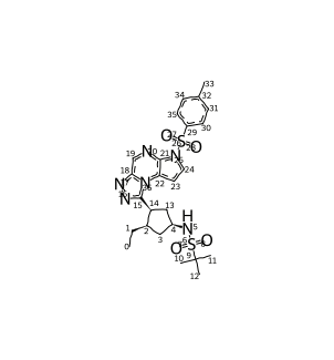 CC[C@@H]1C[C@H](NS(=O)(=O)C(C)(C)C)C[C@@H]1c1nnc2cnc3c(ccn3S(=O)(=O)c3ccc(C)cc3)n12